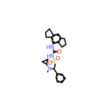 CN(C1CC1)C(CS(=O)(=O)NC(=O)Nc1c2c(cc3c1CCC3)CCC2)c1ccccc1